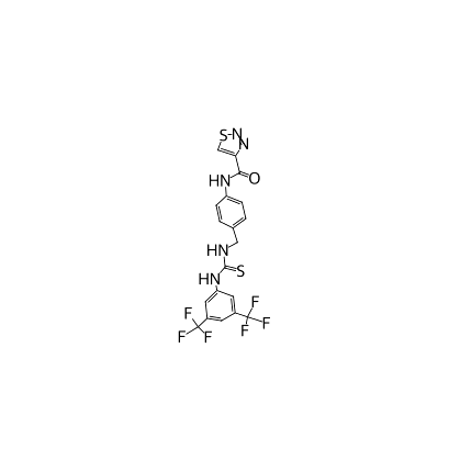 O=C(Nc1ccc(CNC(=S)Nc2cc(C(F)(F)F)cc(C(F)(F)F)c2)cc1)c1csnn1